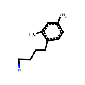 Cc1ccc(CCCC[N])c(C)c1